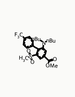 CCCCN(CCCC)c1cc(C(=O)OC)cc(S(C)(=O)=O)c1-c1ccc(C(F)(F)F)cc1